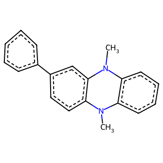 CN1c2ccccc2N(C)c2cc(-c3ccccc3)ccc21